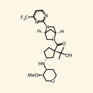 CO[C@@H]1COCC[C@@H]1N[C@@H]1CC[C@@](C(=O)N2C[C@@H]3C[C@H]2CN3c2nccc(C(F)(F)F)n2)(C(C)(C)O)C1